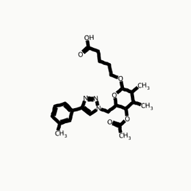 CC(=O)OC1C(Cn2cc(-c3cccc(C)c3)nn2)OC(OCCCCC(=O)O)C(C)C1C